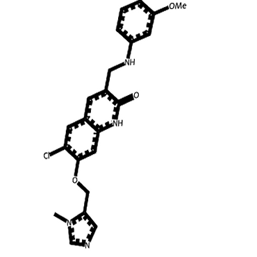 COc1cc(NCc2cc3cc(Cl)c(OCc4cncn4C)cc3[nH]c2=O)ccc1C#N